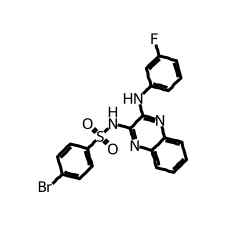 O=S(=O)(Nc1nc2ccccc2nc1Nc1cccc(F)c1)c1ccc(Br)cc1